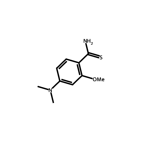 COc1cc(N(C)C)ccc1C(N)=S